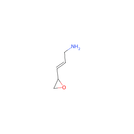 NC/C=C/C1CO1